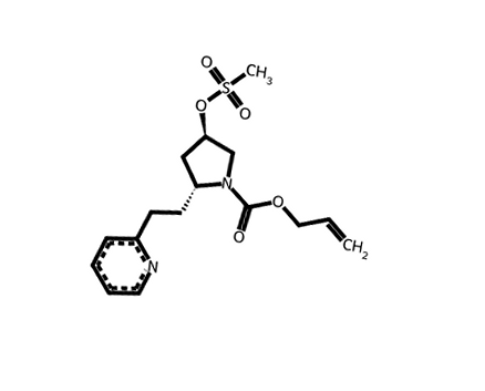 C=CCOC(=O)N1C[C@H](OS(C)(=O)=O)C[C@H]1CCc1ccccn1